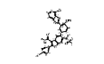 CNC(=O)c1c(-c2ccc(F)cc2)oc2cc(N(C)S(C)(=O)=O)c(-c3ccc(O)c(-c4nc5c(Cl)cccc5o4)c3)cc12